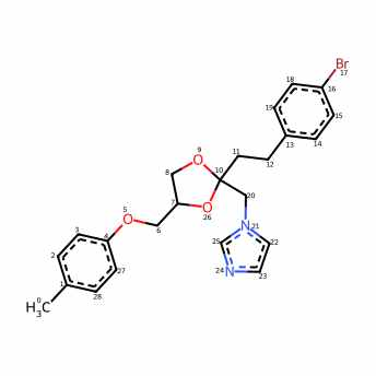 Cc1ccc(OCC2COC(CCc3ccc(Br)cc3)(Cn3ccnc3)O2)cc1